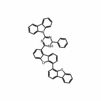 c1ccc(C2N=C(n3c4ccccc4c4ccccc43)N=C(c3cccc4oc5c(-c6cccc7c6sc6ccccc67)cccc5c34)N2)cc1